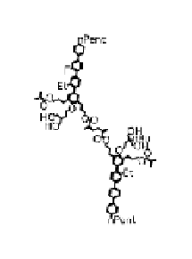 C=C(C)C(=O)OCCCc1cc(-c2ccc(-c3ccc(C4CCC(CCCCC)CC4)cc3F)cc2CC)cc(CCCOC(=O)/C(C)=C\CC(=C)C(=O)OCCCc2cc(-c3ccc(-c4ccc(C5CCC(CCCCC)CC5)cc4)cc3CC)cc(CCCOC(=O)C(=C)C)c2OCCC(CO)(CO)CCCC)c1OCCC(CO)CO